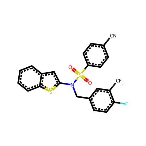 N#Cc1ccc(S(=O)(=O)N(Cc2ccc(F)c(C(F)(F)F)c2)c2cc3ccccc3s2)cc1